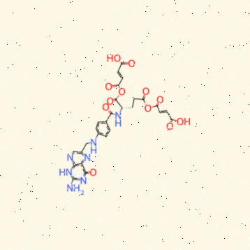 Nc1nc(=O)c2nc(CNc3ccc(C(=O)N[C@@H](CCC(=O)OC(=O)/C=C/C(=O)O)C(=O)OC(=O)/C=C/C(=O)O)cc3)cnc2[nH]1